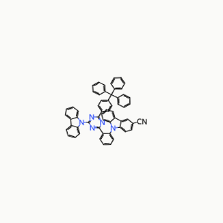 N#Cc1ccc2c(c1)c1ccccc1n2-c1ccccc1-c1nc(-c2ccc(C(c3ccccc3)(c3ccccc3)c3ccccc3)cc2)nc(-n2c3ccccc3c3ccccc32)n1